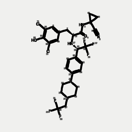 N#CC1(NC(=O)[C@H](Cc2cc(Cl)c(O)c(Cl)c2)N[C@@H](c2ccc(N3CCN(CC(F)(F)F)CC3)cc2)C(F)(F)F)CC1